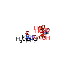 C=C(/C=C\N(C)[C@H]1CC[C@@H](COP(=O)(O)OP(=O)(N=O)OP(=O)(O)O)O1)NC=O